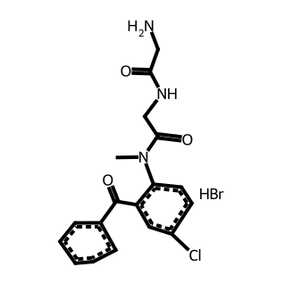 Br.CN(C(=O)CNC(=O)CN)c1ccc(Cl)cc1C(=O)c1ccccc1